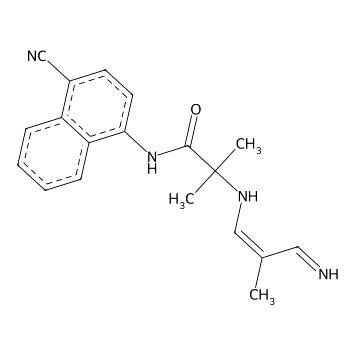 C/C(C=N)=C/NC(C)(C)C(=O)Nc1ccc(C#N)c2ccccc12